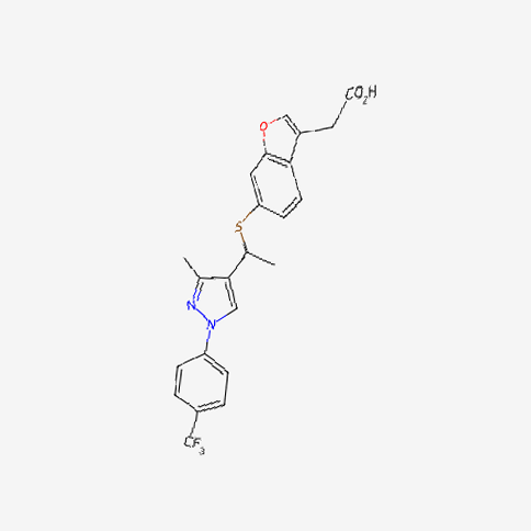 Cc1nn(-c2ccc(C(F)(F)F)cc2)cc1C(C)Sc1ccc2c(CC(=O)O)coc2c1